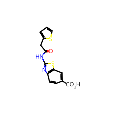 O=C(Cc1cccs1)Nc1nc2ccc(C(=O)O)cc2s1